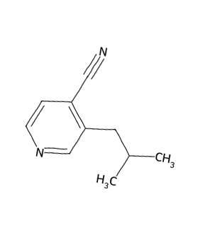 CC(C)Cc1cnccc1C#N